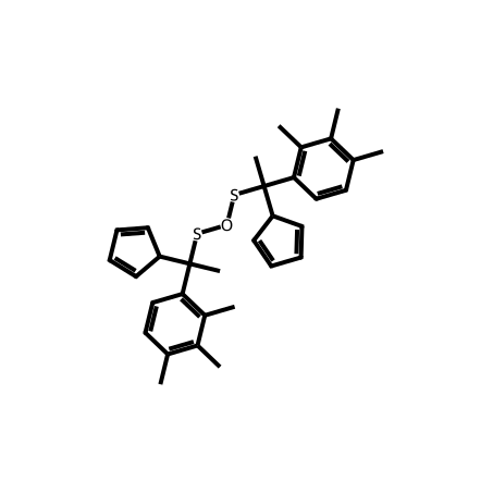 Cc1ccc(C(C)(SOSC(C)(c2ccc(C)c(C)c2C)C2C=CC=C2)C2C=CC=C2)c(C)c1C